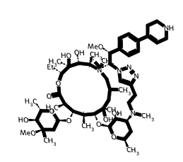 CC[C@H]1OC(=O)[C@H](C)[C@@H](O[C@H]2C[C@@](C)(OC)[C@@H](O)[C@H](C)O2)[C@H](C)[C@@H](O[C@@H]2O[C@H](C)C[C@H](N(C)CCc3cn([C@H](CF)[C@H](OC)c4ccc(C5=CCNCC5)cc4)nn3)[C@H]2O)[C@](C)(O)CC(C)CN(C)[C@H](C)[C@@H](O)[C@]1(C)O